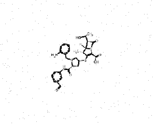 C[C@@H](O)[C@H]1C(=O)N2C(C(=O)O)=C(S[C@H]3C[C@@H](C(=O)Nc4cccc(C=O)c4)N(Cc4ccccc4N)C3)[C@H](C)[C@H]12